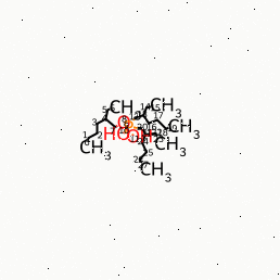 CCCCC(CC)COP(O)(O)(CC(CC)CCCC)CC(CC)CCCC